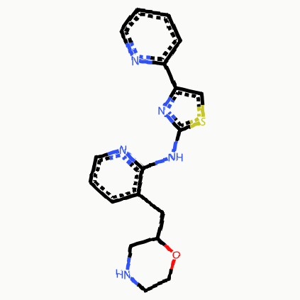 c1ccc(-c2csc(Nc3ncccc3CC3CNCCO3)n2)nc1